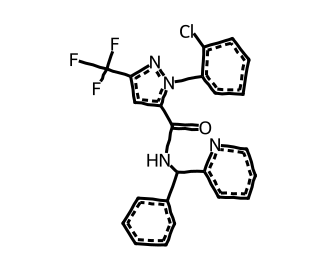 O=C(NC(c1ccccc1)c1ccccn1)c1cc(C(F)(F)F)nn1-c1ccccc1Cl